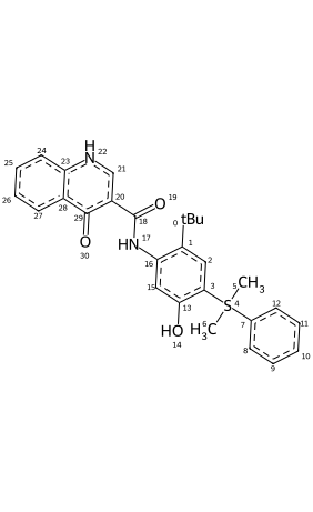 CC(C)(C)c1cc(S(C)(C)c2ccccc2)c(O)cc1NC(=O)c1c[nH]c2ccccc2c1=O